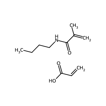 C=C(C)C(=O)NCCCC.C=CC(=O)O